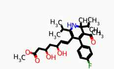 COC(=O)CC(O)CC(O)C=CC1=C(C(C)C)NC(C)(C(C)C)C(C(C)=O)=C1c1ccc(F)cc1